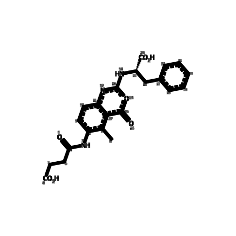 Cc1c(NC(=O)CCC(=O)O)ccc2nc(N[C@@H](Cc3ccccc3)C(=O)O)oc(=O)c12